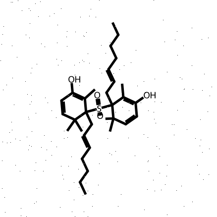 CCCCC=CCC1(S(=O)(=O)C2(CC=CCCCC)C(C)=C(O)C=CC2(C)C)C(C)=C(O)C=CC1(C)C